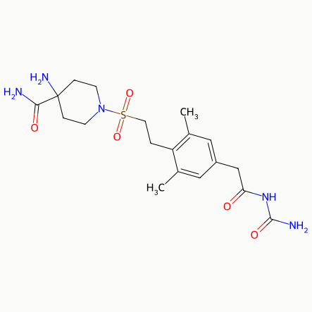 Cc1cc(CC(=O)NC(N)=O)cc(C)c1CCS(=O)(=O)N1CCC(N)(C(N)=O)CC1